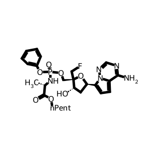 CCCCCOC(=O)[C@H](C)NP(=O)(OC[C@@]1(CF)O[C@@H](c2ccc3c(N)ncnn23)C[C@@H]1O)Oc1ccccc1